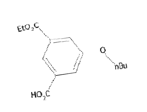 CCCCOc1cc(C(=O)O)cc(C(=O)OCC)c1